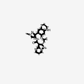 Cn1cc(NC(=O)c2cnn3cccnc23)c(-c2cc3c(cc2OC(F)F)NCCS3)n1